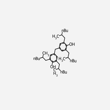 CCCCC(C)Cc1cc(Cc2cc(CC(C)CCCC)c(O)c(CC(C)CCCC)c2)cc(CC(C)CCCC)c1O